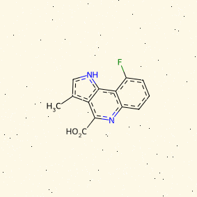 Cc1c[nH]c2c1c(C(=O)O)nc1cccc(F)c12